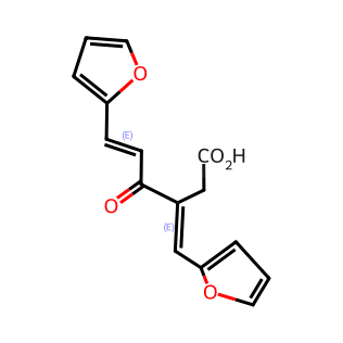 O=C(O)C/C(=C\c1ccco1)C(=O)/C=C/c1ccco1